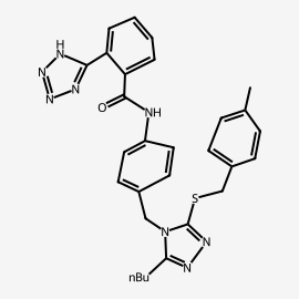 CCCCc1nnc(SCc2ccc(C)cc2)n1Cc1ccc(NC(=O)c2ccccc2-c2nnn[nH]2)cc1